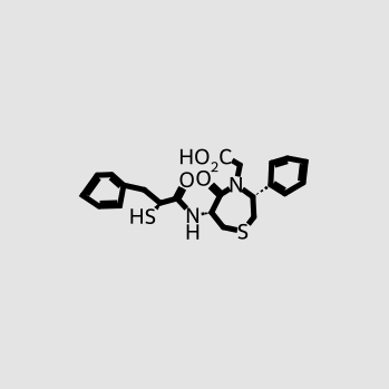 O=C(O)CN1C(=O)[C@@H](NC(=O)[C@@H](S)Cc2ccccc2)CSC[C@H]1c1ccccc1